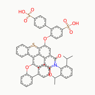 CC(C)c1cccc(C(C)C)c1-n1c(=O)c2cc(Oc3ccc(S(=O)(=O)O)cc3-c3ccc(S(=O)(=O)O)cc3)c3sc4ccccc4c4c(Oc5ccccc5-c5ccccc5)cc(c1=O)c2c34